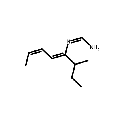 C\C=C/C=C(\N=C/N)C(C)CC